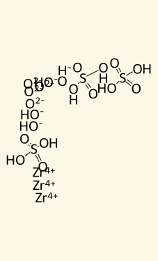 O=S(=O)(O)O.O=S(=O)(O)O.O=S(=O)(O)O.[O-2].[O-2].[O-2].[O-2].[OH-].[OH-].[OH-].[OH-].[Zr+4].[Zr+4].[Zr+4]